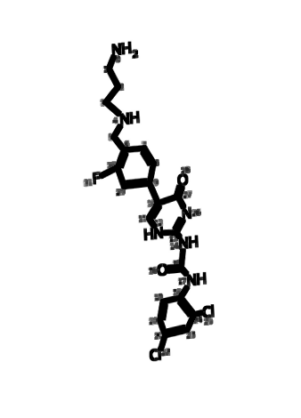 NCCCNCc1ccc(-c2c[nH]c(NC(=O)Nc3ccc(Cl)cc3Cl)nc2=O)cc1F